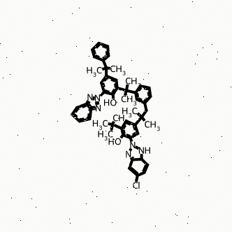 CC(C)(C)c1cc(C(C)(C)Cc2cccc(C(C)(C)c3cc(C(C)(C)c4ccccc4)cc(-n4nc5ccccc5n4)c3O)c2)cc(N2N=C3C=C(Cl)C=CC3N2)c1O